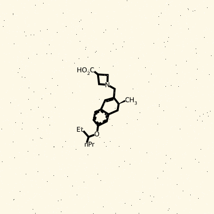 CCCC(CC)Oc1ccc2c(c1)C[C@H](C)C(CN1CC(C(=O)O)C1)=C2